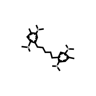 Cc1cc(N(C)C)c(CCCCCc2cc(N(C)C)c(C)cc2N(C)C)cc1N(C)C